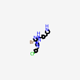 Clc1ccc(CN2CCN(c3c(Br)cnc4[nH]c(-c5ccc(/C=C6/CCCNCC6)cc5)nc34)CC2)cc1